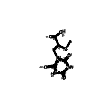 COC(Cn1c(=O)[nH]c(=O)[nH]c1=O)C(=O)O